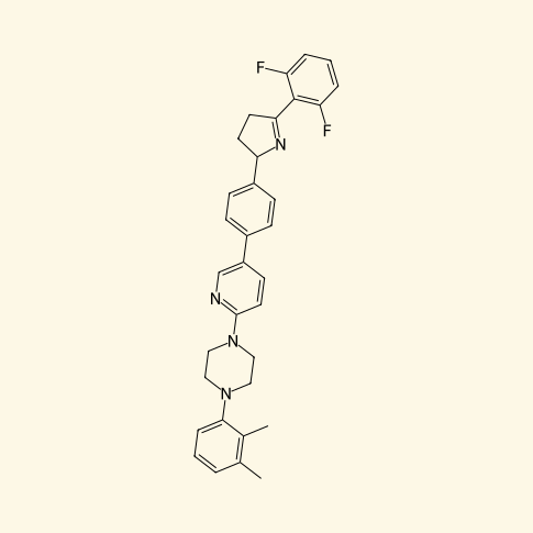 Cc1cccc(N2CCN(c3ccc(-c4ccc(C5CCC(c6c(F)cccc6F)=N5)cc4)cn3)CC2)c1C